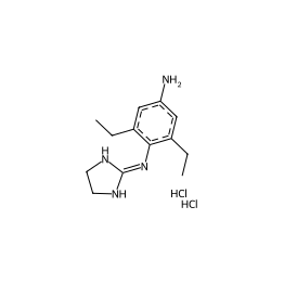 CCc1cc(N)cc(CC)c1N=C1NCCN1.Cl.Cl